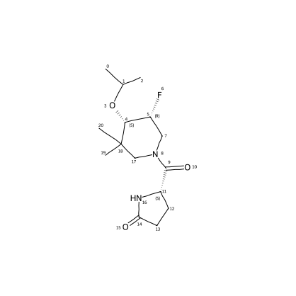 CC(C)O[C@@H]1[C@H](F)CN(C(=O)[C@@H]2CCC(=O)N2)CC1(C)C